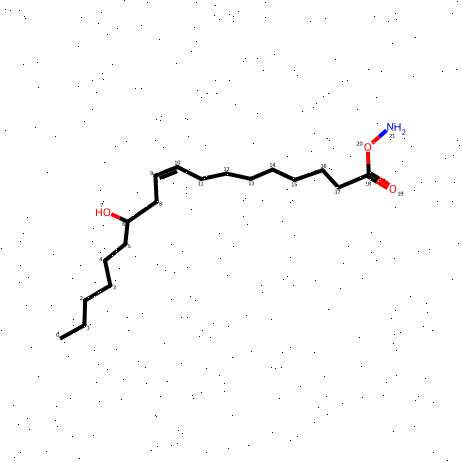 CCCCCCC(O)C/C=C\CCCCCCCC(=O)ON